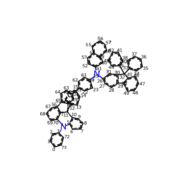 c1ccc(N2c3ccccc3C3(c4ccccc4)c4cc(-c5ccc(N(c6ccc7c(c6)C(c6ccccc6)(c6ccccc6)c6ccccc6-7)c6ccc7ccccc7c6)cc5)ccc4-c4cccc2c43)cc1